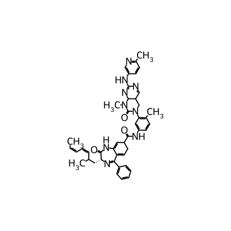 C/C=C\C=C/C(C)C[C@H]1N=C(c2ccccc2)C2=CCC(C(=O)Nc3ccc(C)c(N4CC5C=NC(Nc6ccc(C)nc6)=NC5N(C)C4=O)c3)C=C2NC1=O